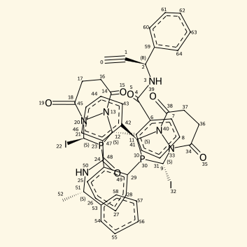 C#C[C@H](NC(=O)c1ccccc1[C@H]1N2C(=O)CCC(=O)N2[C@H](I)P1c1ccccc1P1[C@@H](I)N2C(=O)CCC(=O)N2[C@@H]1c1ccccc1C(=O)N[C@@H](C)c1ccccc1)c1ccccc1